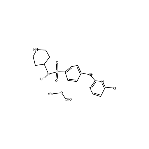 CC(C)(C)OC=O.CN(C1CCNCC1)S(=O)(=O)c1ccc(Nc2nccc(Cl)n2)cc1